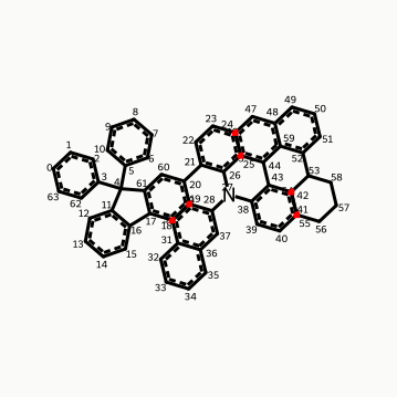 c1ccc(C2(c3ccccc3)c3ccccc3-c3ccc(-c4ccccc4N(c4ccc5ccccc5c4)c4ccccc4-c4cccc5cccc(C6CCCCC6)c45)cc32)cc1